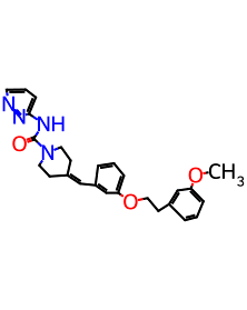 COc1cccc(CCOc2cccc(C=C3CCN(C(=O)Nc4cccnn4)CC3)c2)c1